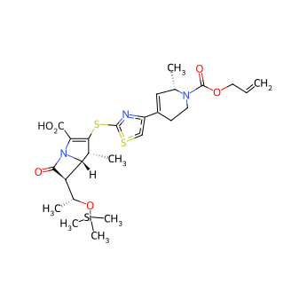 C=CCOC(=O)N1CCC(c2csc(SC3=C(C(=O)O)N4C(=O)[C@H]([C@@H](C)O[Si](C)(C)C)[C@H]4[C@H]3C)n2)=C[C@@H]1C